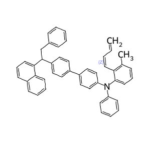 C=C/C=C\c1c(C)cccc1N(c1ccccc1)c1ccc(-c2ccc(C(Cc3ccccc3)c3cccc4ccccc34)cc2)cc1